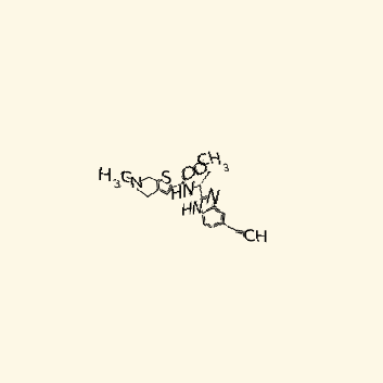 C#Cc1ccc2[nH]c([C@H](COC)NC(=O)c3cc4c(s3)CN(C)CC4)nc2c1